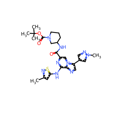 Cc1cc(Nc2nc(C(=O)NC3CCCN(C(=O)OC(C)(C)C)C3)cn3c(-c4cnn(C)c4)cnc23)sn1